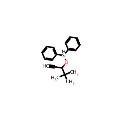 C#CC(O[SiH](c1ccccc1)c1ccccc1)C(C)(C)C